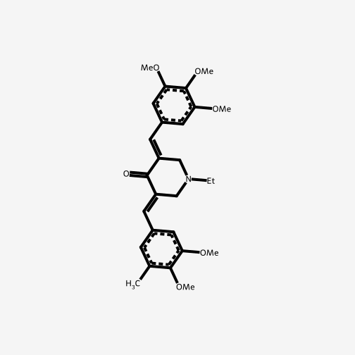 CCN1C/C(=C\c2cc(C)c(OC)c(OC)c2)C(=O)/C(=C/c2cc(OC)c(OC)c(OC)c2)C1